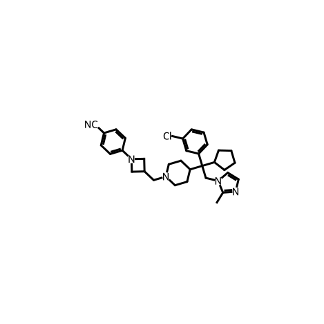 Cc1nccn1CC(c1cccc(Cl)c1)(C1CCCC1)C1CCN(CC2CN(c3ccc(C#N)cc3)C2)CC1